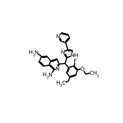 CCOc1cc(CC)cc(C(c2cc3cc(N)ccc3c(N)n2)c2nc(-c3cccnc3)c[nH]2)c1F